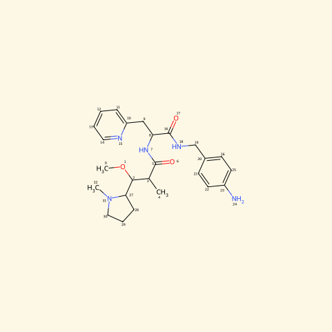 COC(C(C)C(=O)NC(Cc1ccccn1)C(=O)NCc1ccc(N)cc1)C1CCCN1C